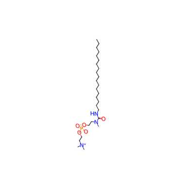 CCCCCCCCCCCCCCCCCCNC(=O)N(C)CCOP(=O)([O-])OCC[N+](C)(C)C